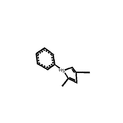 CC1=C[SH](c2[c]cccc2)C(C)=C1